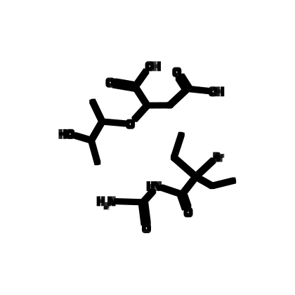 CC(O)C(C)OC(CC(=O)O)C(=O)O.CCC(Br)(CC)C(=O)NC(N)=O